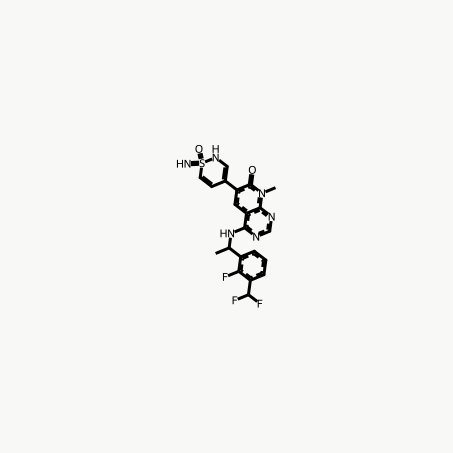 CC(Nc1ncnc2c1cc(C1=CNS(=N)(=O)C=C1)c(=O)n2C)c1cccc(C(F)F)c1F